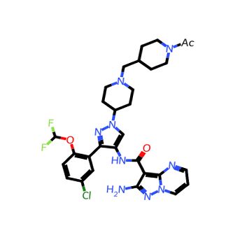 CC(=O)N1CCC(CN2CCC(n3cc(NC(=O)c4c(N)nn5cccnc45)c(-c4cc(Cl)ccc4OC(F)F)n3)CC2)CC1